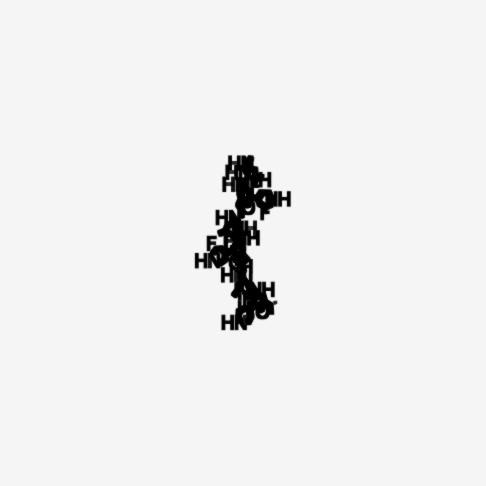 CNC1CC(C)NC(Nc2cc3c(c(C4=CCNC[C@@H](F)C4)c2F)OC(CNC2CC(C)NC(Nc4cc5c(c(C6=CCNC[C@H](F)C6)c4F)OC(CNC4CC(C)NC(Nc6cc7c(c(C8=CCNCCC8)c6F)OC[C@H]7C)N4)C5)N2)C3)N1